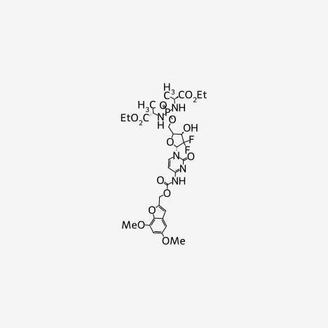 CCOC(=O)[C@H](C)NP(=O)(N[C@@H](C)C(=O)OCC)OCC1O[C@@H](n2ccc(NC(=O)OCc3cc4cc(OC)cc(OC)c4o3)nc2=O)C(F)(F)[C@@H]1O